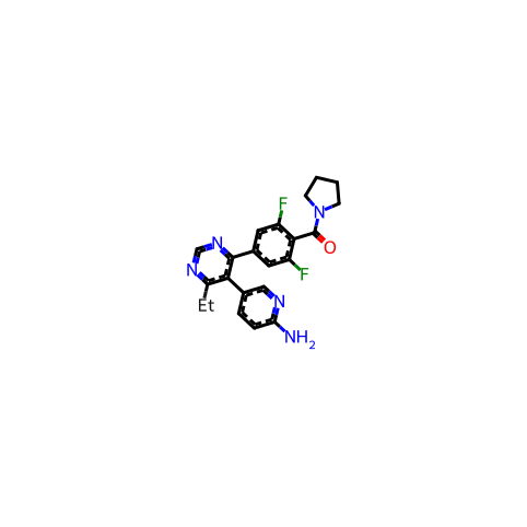 CCc1ncnc(-c2cc(F)c(C(=O)N3CCCC3)c(F)c2)c1-c1ccc(N)nc1